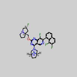 Fc1ccc2cccc(-c3ncc4c(N5C[C@H]6CC[C@@H](C5)N6)nc(OC[C@@]56CCCN5C[C@H](F)C6)nc4c3F)c2c1F